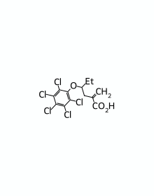 C=C(CC(CC)Oc1c(Cl)c(Cl)c(Cl)c(Cl)c1Cl)C(=O)O